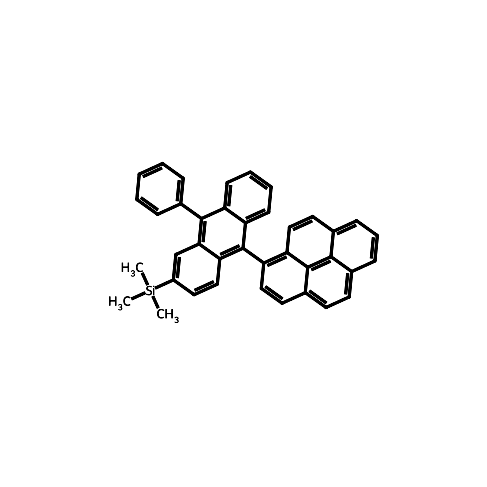 C[Si](C)(C)c1ccc2c(-c3ccc4ccc5cccc6ccc3c4c56)c3ccccc3c(-c3ccccc3)c2c1